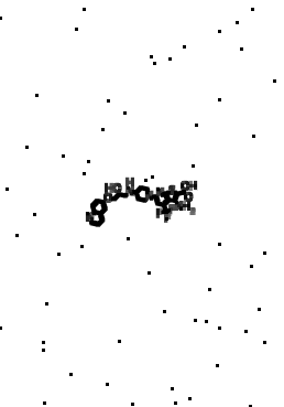 Nc1c(C(=O)O)sc2nc(N3CCC(NC[C@@H](O)COc4ccc5ncccc5c4)CC3)cc(C(F)(F)F)c12